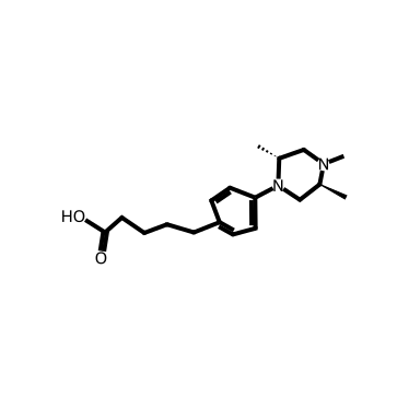 C[C@@H]1CN(C)[C@@H](C)CN1c1ccc(CCCCC(=O)O)cc1